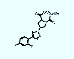 COC(=O)C1CC(n2nnc(-c3ccc(F)cc3F)n2)CN1C(=O)OC(C)(C)C